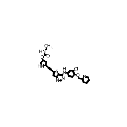 CCNC(=O)OC1CNC(C#Cc2cc3ncnc(Nc4ccc(OCc5ccccn5)c(Cl)c4)c3s2)C1